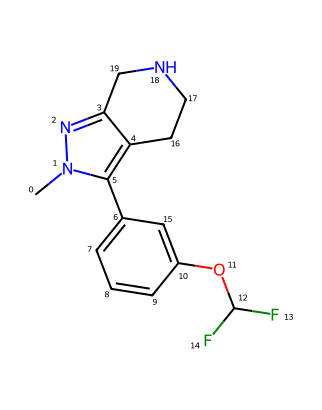 Cn1nc2c(c1-c1cccc(OC(F)F)c1)CCNC2